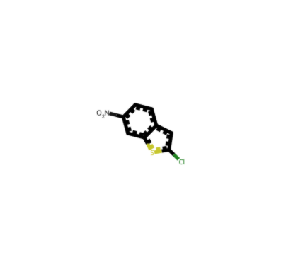 O=[N+]([O-])c1ccc2cc(Cl)sc2c1